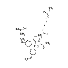 COc1ccc(C(OC(CCNC(=O)CCCCCOC(=O)CN)C(N)=O)(c2ccccc2)c2ccc(OC)cc2)cc1.NP(O)O